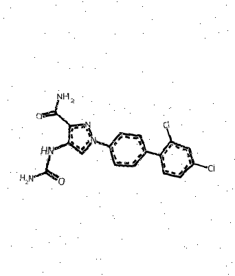 NC(=O)Nc1cn(-c2ccc(-c3ccc(Cl)cc3Cl)cc2)nc1C(N)=O